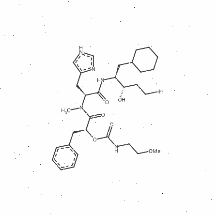 COCCNC(=O)O[C@@H](Cc1ccccc1)C(=O)N(C)[C@@H](Cc1c[nH]cn1)C(=O)N[C@@H](CC1CCCCC1)[C@@H](O)CCC(C)C